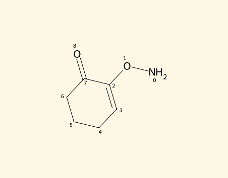 NOC1=CCCCC1=O